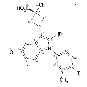 Cc1cc(-n2c(C(C)C)c([C@H]3C[C@@](C(=O)O)(C(F)(F)F)C3)c3cc(O)ccc32)ccc1F